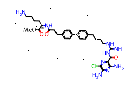 COC(=O)[C@@H](CCCCN)NC(=O)CCc1ccc(-c2ccc(CCCCNC(=N)NC(=O)c3nc(Cl)c(N)nc3N)cc2)cc1